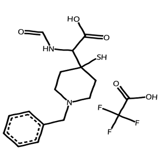 O=C(O)C(F)(F)F.O=CNC(C(=O)O)C1(S)CCN(Cc2ccccc2)CC1